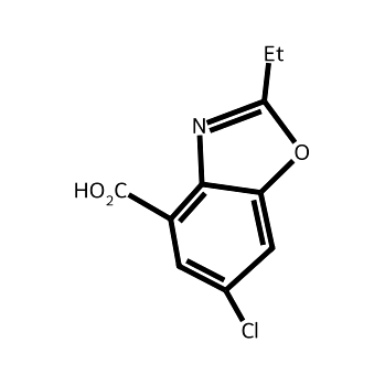 CCc1nc2c(C(=O)O)cc(Cl)cc2o1